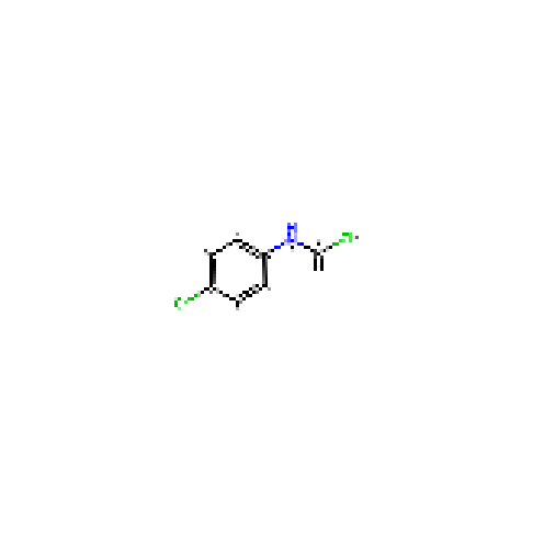 ClBNc1ccc(Cl)cc1